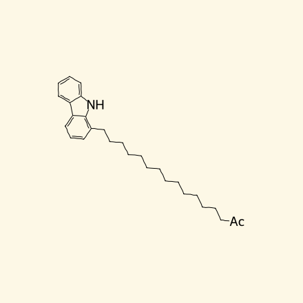 CC(=O)CCCCCCCCCCCCCCc1cccc2c1[nH]c1ccccc12